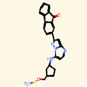 NSOCC1CCC(Nc2ccnc3cc(-c4ccc5c(c4)C(=O)c4ccccc4-5)nn23)C1